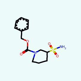 NS(=O)(=O)C1CCCN(C(=O)OCc2ccccc2)C1